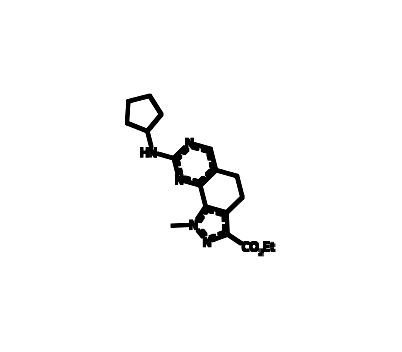 CCOC(=O)c1nn(C)c2c1CCc1cnc(NC3CCCC3)nc1-2